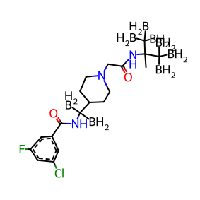 BC(B)(NC(=O)c1cc(F)cc(Cl)c1)C1CCN(CC(=O)NC(C)(C(B)(B)B)C(B)(B)B)CC1